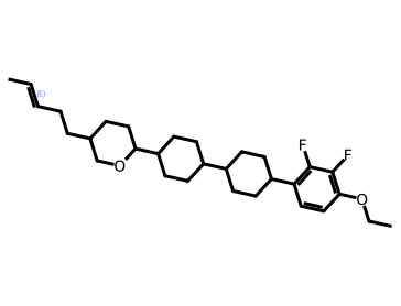 C/C=C/CCC1CCC(C2CCC(C3CCC(c4ccc(OCC)c(F)c4F)CC3)CC2)OC1